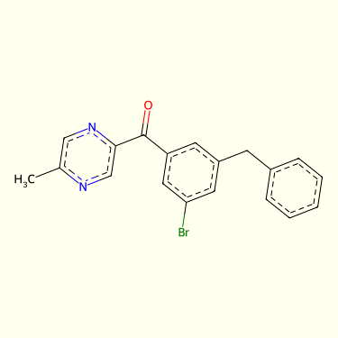 Cc1cnc(C(=O)c2cc(Br)cc(Cc3ccccc3)c2)cn1